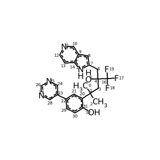 CC(C)(CC(O)(Cc1cc2cnccc2[nH]1)C(F)(F)F)c1cc(-c2cncnc2)ccc1O